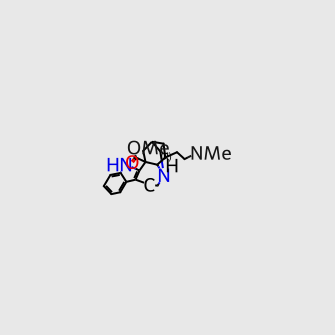 CNCC[C@H]1CC2CN3CCc4c([nH]c5ccccc45)C(C(=O)OC)(C2)C13